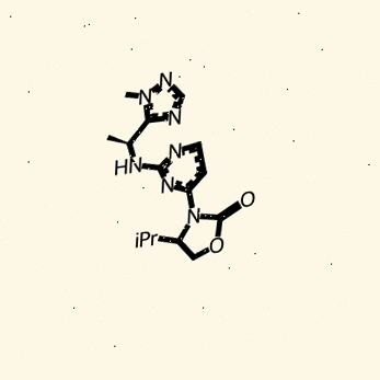 CC(C)C1COC(=O)N1c1ccnc(N[C@@H](C)c2ncnn2C)n1